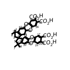 CC1(C)CC2(CC(C)(C)c3cc4c(cc32)Oc2cc(C(=O)O)c(C(=O)O)cc2O4)C2=C1C=C1Oc3cc(C(=O)O)c(C(=O)O)cc3OC1C2